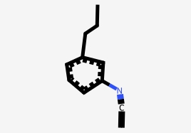 C=C=Nc1cccc(CCC)c1